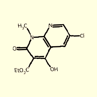 CCOC(=O)c1c(O)c2cc(Cl)cnc2n(C)c1=O